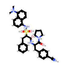 CN(C)c1cccc2c(NS(=O)(=O)C(Cc3ccccc3)C(=O)NC(Cc3ccc(C#N)cc3)C(=O)N3CCCC3)cccc12